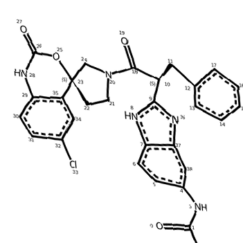 O=C(O)Nc1ccc2[nH]c([C@H](Cc3ccccc3)C(=O)N3CC[C@]4(C3)OC(=O)Nc3ccc(Cl)cc34)nc2c1